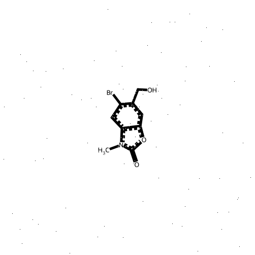 Cn1c(=O)oc2cc(CO)c(Br)cc21